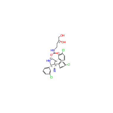 N#C[C@]1(c2ccc(Cl)cc2)[C@H](c2cccc(Cl)c2)N[C@H](OC(=O)NCC[C@H](O)CO)[C@@H]1c1cccc(Cl)c1